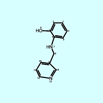 Oc1ccccc1NCc1cccnc1